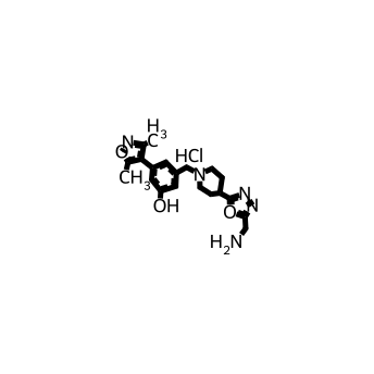 Cc1noc(C)c1-c1cc(O)cc(CN2CCC(c3nnc(CN)o3)CC2)c1.Cl